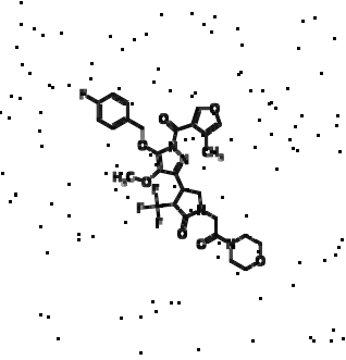 COc1c(C2CN(CC(=O)N3CCOCC3)C(=O)C2C(F)(F)F)nn(C(=O)c2cocc2C)c1OCc1ccc(F)cc1